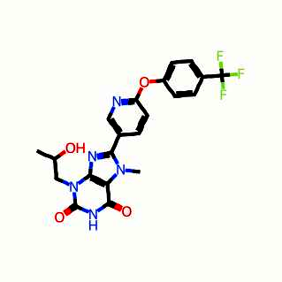 CC(O)Cn1c(=O)[nH]c(=O)c2c1nc(-c1ccc(Oc3ccc(C(F)(F)F)cc3)nc1)n2C